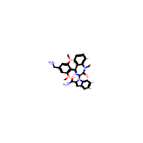 COc1cc(CN)cc(OC)c1C1=NC(n2c(C(N)=O)cc3ccccc32)C(=O)N(C)c2ccccc21